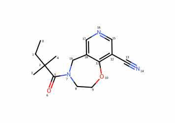 CCC(C)(C)C(=O)N1CCOc2c(C#N)cncc2C1